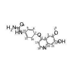 COc1cc2c(OC3C=CC(NC(N)=O)=CC3)ccnc2cc1O